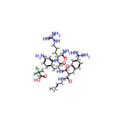 C=CCNC(=O)C(Cc1ccc(C(=N)N)cc1)C(=O)N[C@@H](Cc1ccc(N)cc1)C(=O)N[C@@H](CCCNC(=N)N)C(N)=O.O=C(O)C(F)(F)F